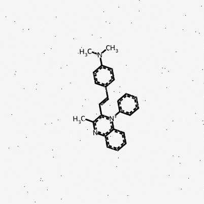 Cc1nc2ccccc2[n+](-c2ccccc2)c1C=Cc1ccc(N(C)C)cc1